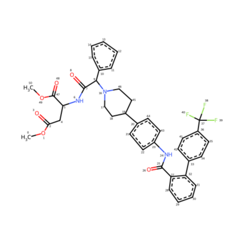 COC(=O)CC(NC(=O)C(c1ccccc1)N1CCC(c2ccc(NC(=O)c3ccccc3-c3ccc(C(F)(F)F)cc3)cc2)CC1)C(=O)OC